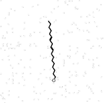 CCCCC/C=C/C/C=C/CCCCCCCC[O]